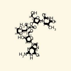 Cc1cn([C@H]2C[C@@H](OP(=O)(OC[C@H]3O[C@@H](n4cnc5c(=O)[nH]c(N)nc54)C[C@H]3O)N(C)CC3OCCO3)[C@@H](CO)O2)c(=O)[nH]c1=O